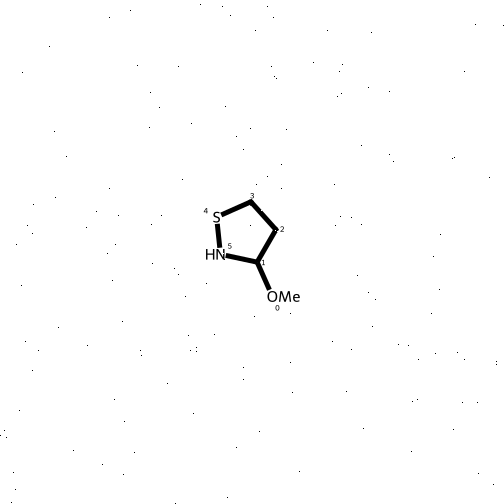 COC1C[CH]SN1